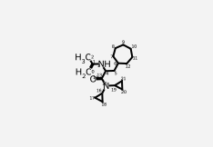 C=C(C)NC(CC1CCCCCC1)C(=O)N(C1CC1)C1CC1